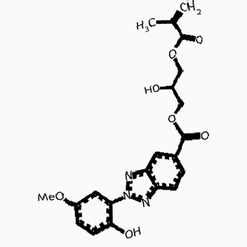 C=C(C)C(=O)OCC(O)COC(=O)c1ccc2nn(-c3cc(OC)ccc3O)nc2c1